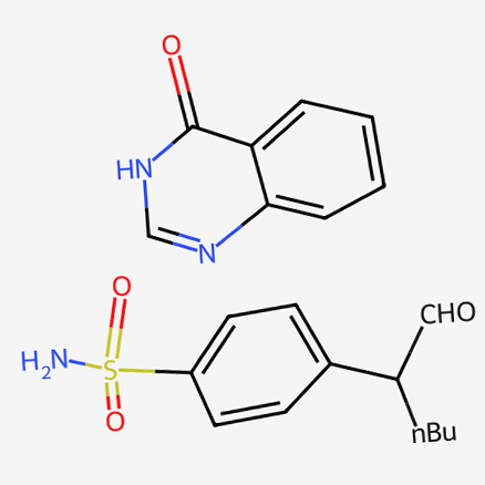 CCCCC(C=O)c1ccc(S(N)(=O)=O)cc1.O=c1[nH]cnc2ccccc12